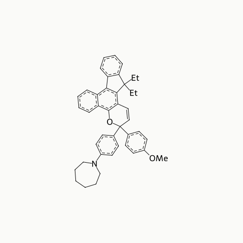 CCC1(CC)c2ccccc2-c2c1c1c(c3ccccc23)OC(c2ccc(OC)cc2)(c2ccc(N3CCCCCC3)cc2)C=C1